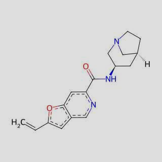 C=Cc1cc2cnc(C(=O)N[C@@H]3C[C@@H]4CCN(C4)C3)cc2o1